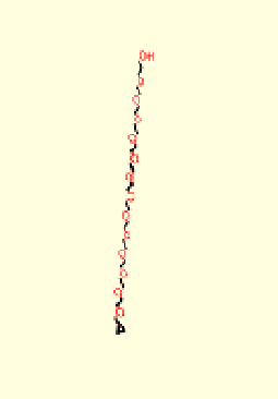 OCCCOCCOCCOCCOCCOCCOCCOCCOCCOCCOCCOCCOCCOCC1CC1